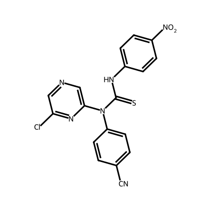 N#Cc1ccc(N(C(=S)Nc2ccc([N+](=O)[O-])cc2)c2cncc(Cl)n2)cc1